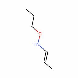 CC=CNOCCC